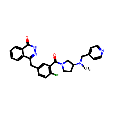 CN(Cc1ccncc1)[C@H]1CCN(C(=O)c2cc(Cc3n[nH]c(=O)c4ccccc34)ccc2F)C1